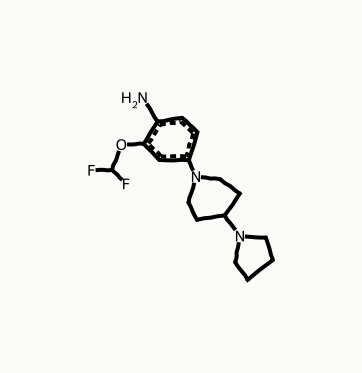 Nc1ccc(N2CCC(N3CCCC3)CC2)cc1OC(F)F